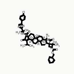 CC(C)C1=C2[C@H]3CC[C@@H]4[C@]5(C)CC[C@H]([C@@]6(C(=O)O)C[C@@H](C(=O)OCc7ccccc7)C6(C)C)C(C)(C)[C@H]5CC[C@@]4(C)[C@]3(C)CC[C@@]2(C(=O)NC(C)(C)c2ncc(-c3ccc(Cl)cc3)[nH]2)CC1=O